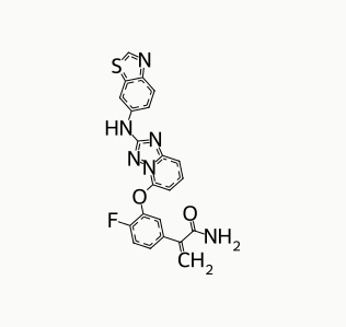 C=C(C(N)=O)c1ccc(F)c(Oc2cccc3nc(Nc4ccc5ncsc5c4)nn23)c1